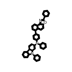 C1=CC2c3ccccc3N(c3ccccc3)C2C=C1N(c1ccccc1)c1ccc(-c2cccc3c2ccc2oc(-c4ccccc4)nc23)cc1